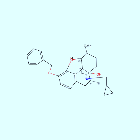 COC1CCC2(O)[C@H]3Cc4ccc(OCc5ccccc5)c5c4[C@@]2(CCN3CC2CC2)[C@H]1O5